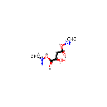 O=CNOC(=O)CC(O)C(=O)ONC=O